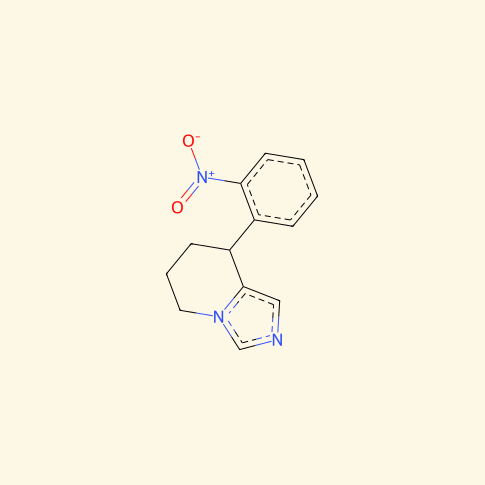 O=[N+]([O-])c1ccccc1C1CCCn2cncc21